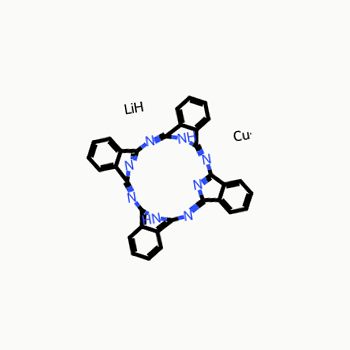 [Cu].[LiH].c1ccc2c(c1)-c1nc-2nc2[nH]c(nc3nc(nc4[nH]c(n1)c1ccccc41)-c1ccccc1-3)c1ccccc21